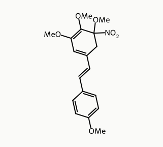 COC1=C(OC)C(OC)([N+](=O)[O-])CC(C=Cc2ccc(OC)cc2)=C1